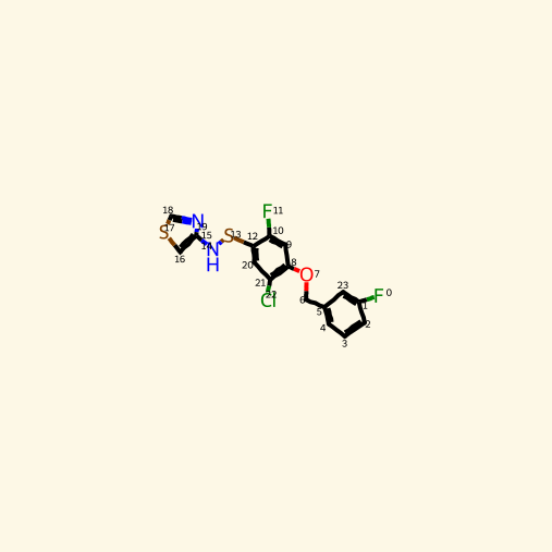 Fc1cccc(COc2cc(F)c(SNc3cscn3)cc2Cl)c1